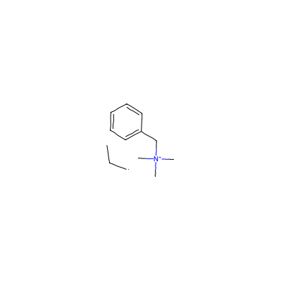 C[N+](C)(C)Cc1ccccc1.[CH2]CC